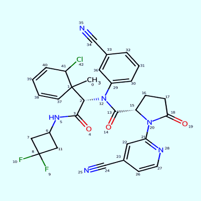 CC1([C@@H](C(=O)NC2CC(F)(F)C2)N(C(=O)[C@@H]2CCC(=O)N2c2cc(C#N)ccn2)c2cccc(C#N)c2)C=CC=CC1Cl